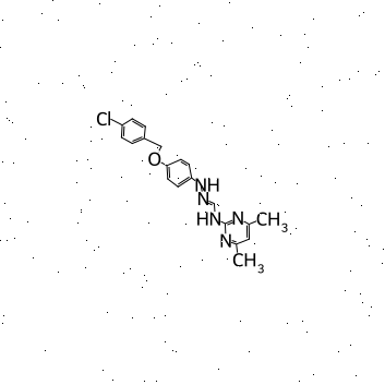 Cc1cc(C)nc(NC=NNc2ccc(OCc3ccc(Cl)cc3)cc2)n1